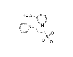 O=S(=O)(O)c1cccnc1.O=S(=O)([O-])CCC[n+]1ccccc1